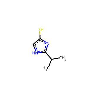 CC(C)c1nc(S)c[nH]1